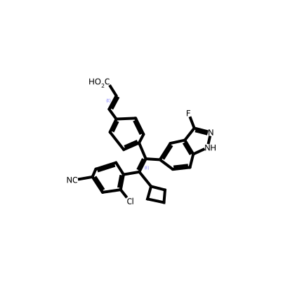 N#Cc1ccc(/C(=C(\c2ccc(/C=C/C(=O)O)cc2)c2ccc3[nH]nc(F)c3c2)C2CCC2)c(Cl)c1